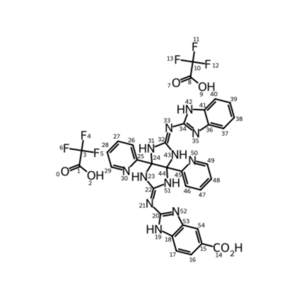 O=C(O)C(F)(F)F.O=C(O)C(F)(F)F.O=C(O)c1ccc2[nH]c(N=C3NC4(c5ccccn5)NC(=Nc5nc6ccccc6[nH]5)NC4(c4ccccn4)N3)nc2c1